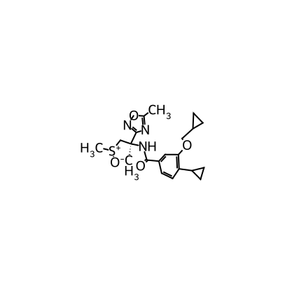 Cc1nc([C@](C)(C[S+](C)[O-])NC(=O)c2ccc(C3CC3)c(OCC3CC3)c2)no1